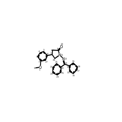 COc1cccc(C2CC(=O)N(N=C(c3ccccc3)c3ccccc3)C2)c1